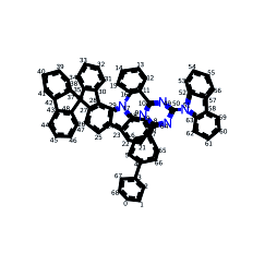 c1ccc(-c2ccc(-c3nc(-c4ccccc4-n4c5ccccc5c5ccc6c(c54)-c4ccccc4C64c5ccccc5-c5ccccc54)nc(-n4c5ccccc5c5ccccc54)n3)cc2)cc1